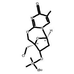 Cc1cn2c(nc1=O)OC[C@@]1(CCl)O[C@@H]2CC1O[Si](C)(C)C(C)(C)C